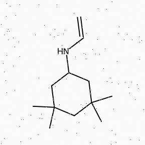 C=CNC1CC(C)(C)CC(C)(C)C1